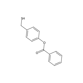 O=C(Oc1ccc(CS)cc1)c1ccccc1